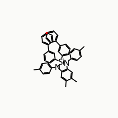 Cc1ccc(N2c3cc(C)c(C)cc3N(c3ccc(C)cc3)[Si]2(c2cccc(-c3ccccc3)c2)c2cccc(-c3ccccc3)c2)cc1